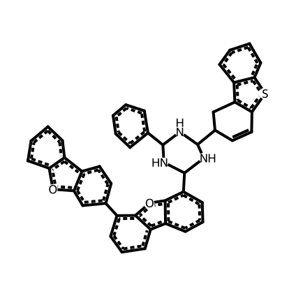 C1=CC(C2NC(c3ccccc3)NC(c3cccc4c3oc3c(-c5ccc6c(c5)oc5ccccc56)cccc34)N2)Cc2c1sc1ccccc21